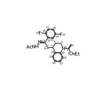 C=C(OCC)N1CCC(S/C(=N\NC(C)=O)c2cc(F)ccc2F)c2ccccc21